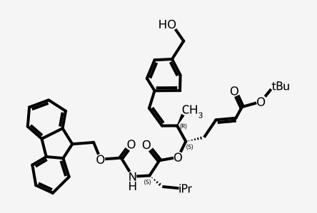 CC(C)C[C@H](NC(=O)OCC1c2ccccc2-c2ccccc21)C(=O)O[C@@H](CC=CC(=O)OC(C)(C)C)[C@H](C)C=Cc1ccc(CO)cc1